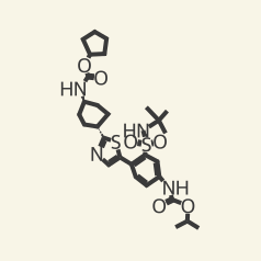 CC(C)OC(=O)Nc1ccc(-c2cnc([C@H]3CC[C@H](NC(=O)OC4CCCC4)CC3)s2)c(S(=O)(=O)NC(C)(C)C)c1